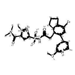 COc1cc(-c2cc(F)c3c(c2CC(=O)NS(=O)(=O)c2cc(C(=O)N(C)C)n(C)n2)CCC3)ccn1